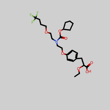 CCOC(Cc1ccc(OCCN(CCOCCCC(F)(F)F)C(=O)OC2CCCC2)cc1)C(=O)O